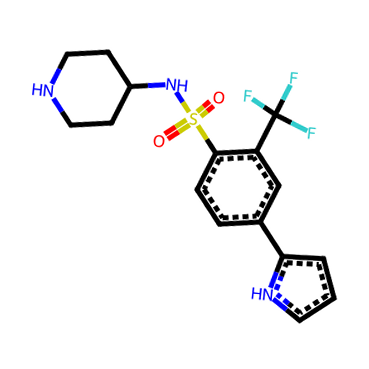 O=S(=O)(NC1CCNCC1)c1ccc(-c2ccc[nH]2)cc1C(F)(F)F